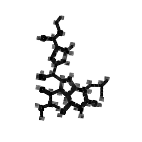 CCOC(=O)c1cc(C(O)c2sc3c(c2C(=O)N(C)OC)c(=O)n(C)c(=O)n3CC(C)C)cn1C